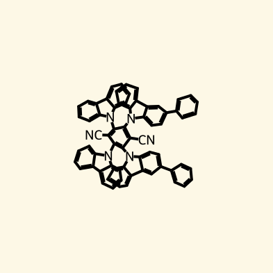 N#Cc1c(-n2c3ccccc3c3ccccc32)c(-n2c3ccccc3c3cc(-c4ccccc4)ccc32)c(C#N)c(-n2c3ccccc3c3cc(-c4ccccc4)ccc32)c1-n1c2ccccc2c2ccccc21